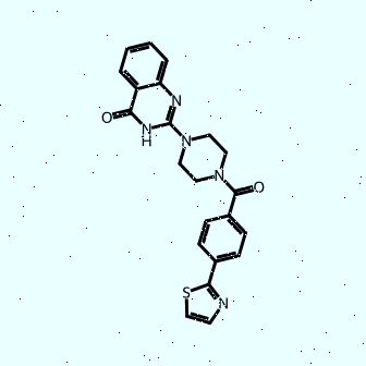 O=C(c1ccc(-c2nccs2)cc1)N1CCN(c2nc3ccccc3c(=O)[nH]2)CC1